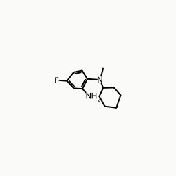 CN(c1ccc(F)cc1N)C1CCCCC1